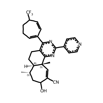 C[C@H]1CC(O)C(C#N)=C[C@@]2(C)c3nc(-c4ccncc4)nc(C4=CCCC(C(F)(F)F)C=C4)c3CC[C@H]12